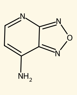 Nc1ccnc2nonc12